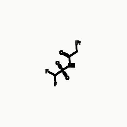 CC(C)CC(=O)NS(=O)(=O)C(F)F